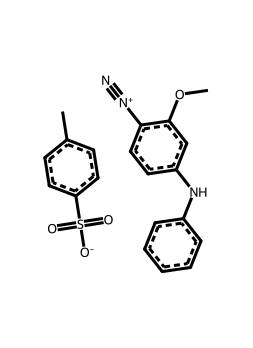 COc1cc(Nc2ccccc2)ccc1[N+]#N.Cc1ccc(S(=O)(=O)[O-])cc1